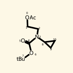 CC(=O)OCCN(C(=O)OC(C)(C)C)C1CC1